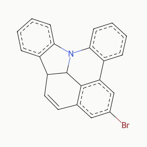 Brc1cc2c3c(c1)-c1ccccc1N1c4ccccc4C(C=C2)C31